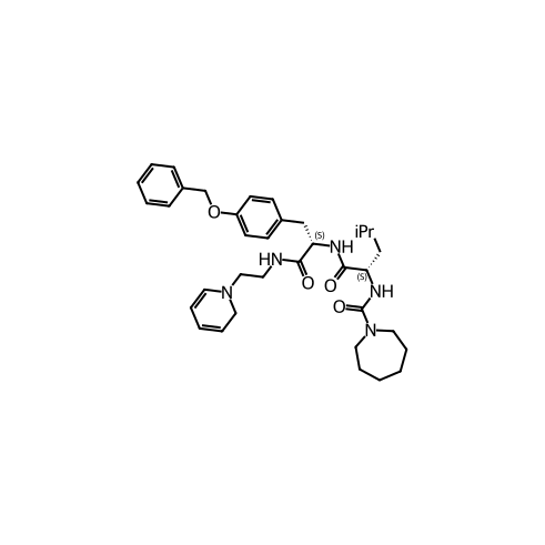 CC(C)C[C@H](NC(=O)N1CCCCCC1)C(=O)N[C@@H](Cc1ccc(OCc2ccccc2)cc1)C(=O)NCCN1C=CC=CC1